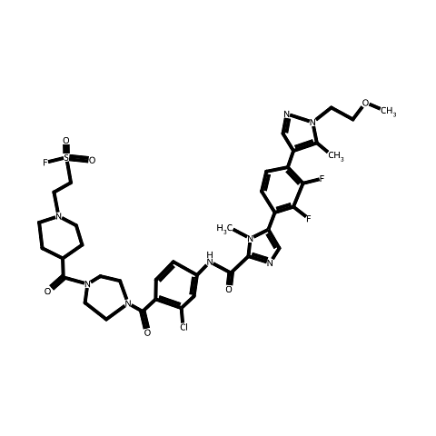 COCCn1ncc(-c2ccc(-c3cnc(C(=O)Nc4ccc(C(=O)N5CCN(C(=O)C6CCN(CCS(=O)(=O)F)CC6)CC5)c(Cl)c4)n3C)c(F)c2F)c1C